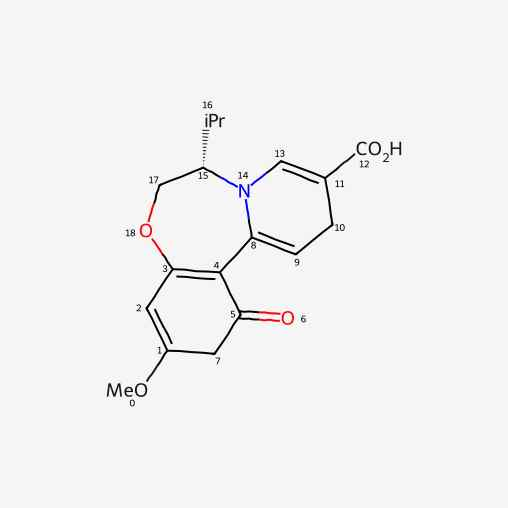 COC1=CC2=C(C(=O)C1)C1=CCC(C(=O)O)=CN1[C@@H](C(C)C)CO2